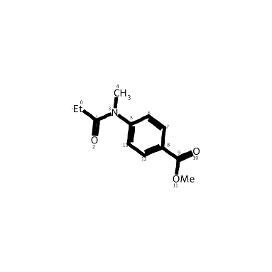 C[CH]C(=O)N(C)c1ccc(C(=O)OC)cc1